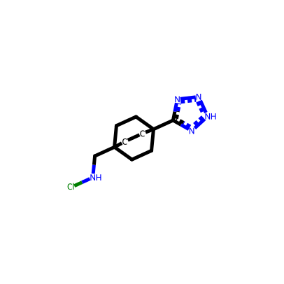 ClNCC12CCC(c3nn[nH]n3)(CC1)CC2